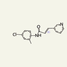 Cc1cc(Cl)ccc1NC(=O)/C=C/c1cccnc1